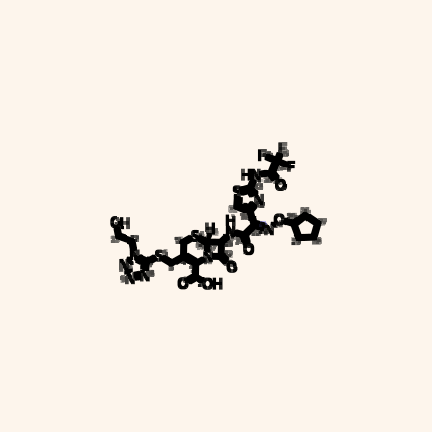 O=C(O)C1=C(CSc2nnnn2CCO)CS[C@@H]2C(NC(=O)/C(=N/OC3CCCC3)c3csc(NC(=O)C(F)(F)F)n3)C(=O)N12